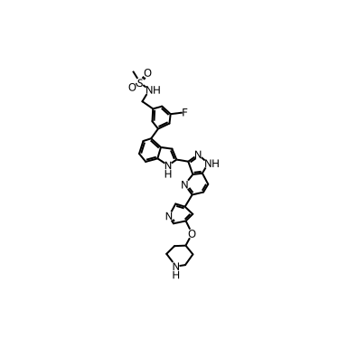 CS(=O)(=O)NCc1cc(F)cc(-c2cccc3[nH]c(-c4n[nH]c5ccc(-c6cncc(OC7CCNCC7)c6)nc45)cc23)c1